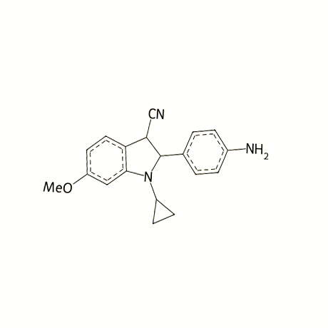 COc1ccc2c(c1)N(C1CC1)C(c1ccc(N)cc1)C2C#N